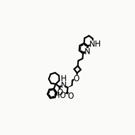 O=C(O)[C@H](CCOC1CC(CCc2ccc3c(n2)NCCC3)C1)NC(=O)C1(c2ccccc2)CCCCCC1